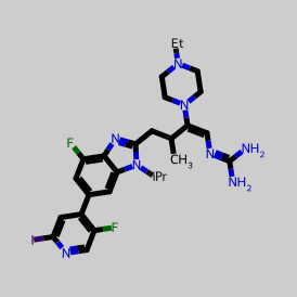 CCN1CCN(/C(=C/N=C(N)N)C(C)Cc2nc3c(F)cc(-c4cc(I)ncc4F)cc3n2C(C)C)CC1